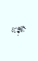 CCCCCN(CCCCC)CCC(O)(C=CC1OC(=O)C=CC1CC)C(CC(O)C=CC=CC1CCCC(O)C1)OP